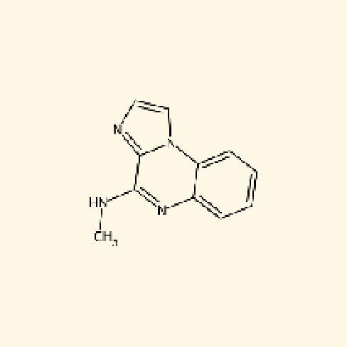 CNc1nc2ccccc2n2ccnc12